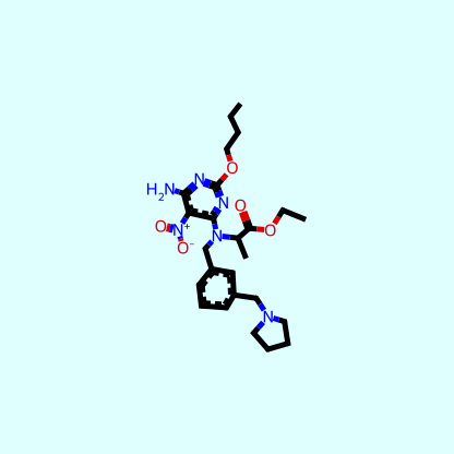 CCCCOc1nc(N)c([N+](=O)[O-])c(N(Cc2cccc(CN3CCCC3)c2)C(C)C(=O)OCC)n1